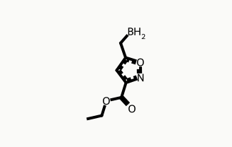 BCc1cc(C(=O)OCC)no1